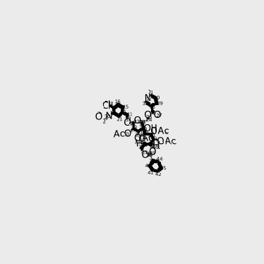 CC(=O)O[C@@H]1[C@@H](OC(C)=O)[C@@H]([C@]2(O)[C@H](OC(C)=O)[C@@H](OC(C)=O)[C@H](OCc3ccc(Cl)c([N+](=O)[O-])c3)O[C@@H]2COC(=O)c2cccnc2)O[C@@H]2CO[C@@H](c3ccccc3)O[C@@H]12